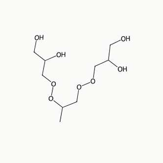 CC(COOCC(O)CO)OOCC(O)CO